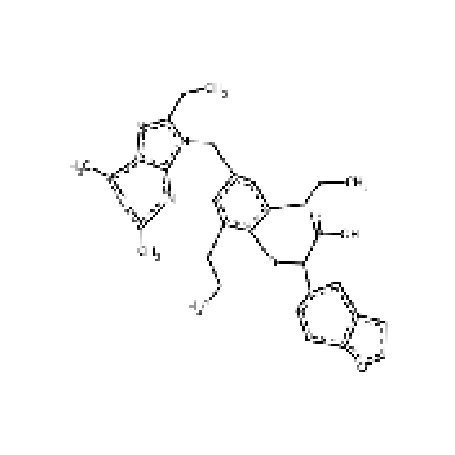 CCCc1cc(Cn2c(CC)nc3c(C)cc(C)nc32)cc(CCC)c1OC(C(=O)O)c1ccc2occc2c1